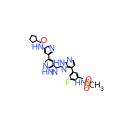 CS(=O)(=O)NCc1cc(F)cc(-c2ccnc3[nH]c(-c4n[nH]c5ncc(-c6cncc(NC(=O)C7CCCC7)c6)cc45)nc23)c1